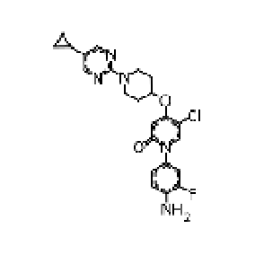 Nc1ccc(-n2cc(Cl)c(OC3CCN(c4ncc(C5CC5)cn4)CC3)cc2=O)cc1F